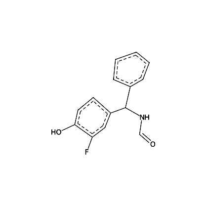 O=CNC(c1ccccc1)c1ccc(O)c(F)c1